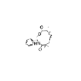 C[C@@H]1C/C=C/CC(C)(C)C(=O)N[C@H](c2ccccc2)COC1=O